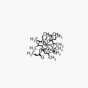 C=CC(=O)O[Si](CC(C)C)(CC(C)C)O[Si](O[Si](C)(C)C)(O[Si](CC)(CC)CC)O[Si](CC)(CC)CC